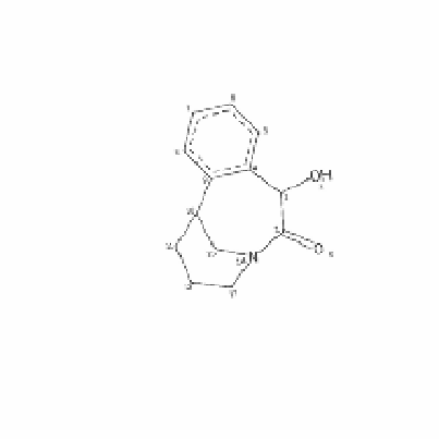 O=C1C(O)c2ccccc2C2CCCN1C2